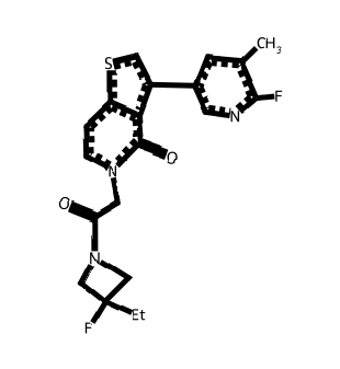 CCC1(F)CN(C(=O)Cn2ccc3scc(-c4cnc(F)c(C)c4)c3c2=O)C1